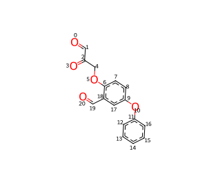 O=CC(=O)COc1ccc(Oc2ccccc2)cc1C=O